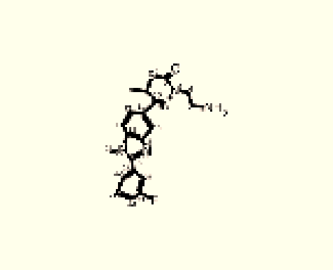 CC1SC(=O)N(CCN)N=C1c1ccc2c(c1)nc(-c1cccc(F)c1)n2C